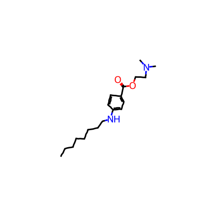 CCCCCCCCNc1ccc(C(=O)OCCN(C)C)cc1